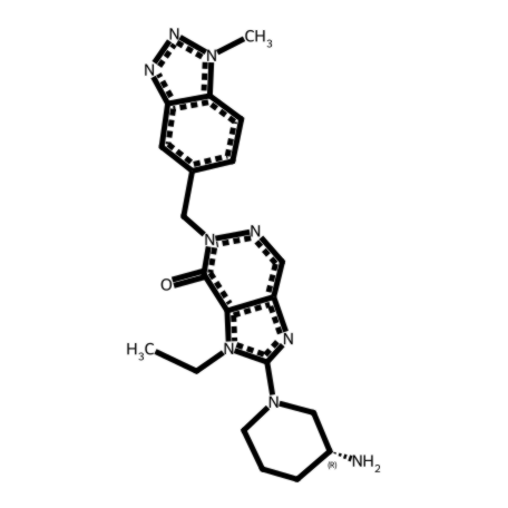 CCn1c(N2CCC[C@@H](N)C2)nc2cnn(Cc3ccc4c(c3)nnn4C)c(=O)c21